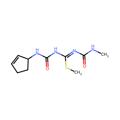 CNC(=O)N=C(NC(=O)NC1C=CCC1)SC